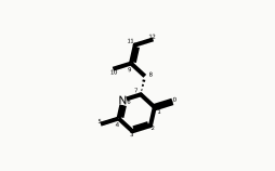 C=C1C=CC(C)=N[C@@H]1C/C(C)=C\C